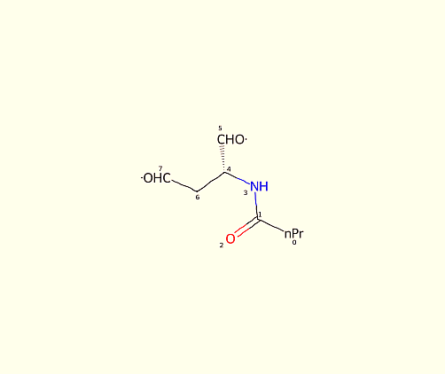 CCCC(=O)N[C@@H]([C]=O)C[C]=O